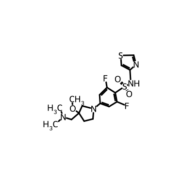 COC1(CN(C)C)CCN(c2cc(F)c(S(=O)(=O)Nc3cscn3)c(F)c2)C1